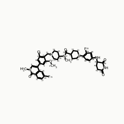 COc1cc(-c2cn(C)c(=O)c3ccc(F)cc23)cc(Cl)c1CN1CCC(N(C)C(=O)C2CCN(c3ccc(NC4CCC(=O)NC4=O)cc3F)CC2)CC1